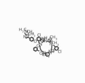 COC[C@@H]1NC(=O)[C@H](CCN)N(Cc2ccc(Cl)cc2Oc2ccc(-c3cnc(CN(C)C)n3C)cc2)C(=O)C[C@@H](Cc2ccccc2)C(=O)N(C)[C@H]2CCCC[C@@H]2NC(=O)C[C@H](Cc2ccc(Cl)cc2)N(C)C1=O